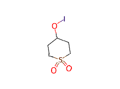 O=S1(=O)CCC(OI)CC1